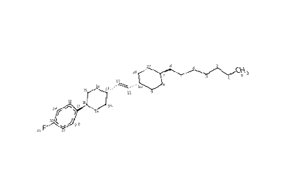 CCCCCCC[C@H]1CC[C@H](C=C[C@H]2CC[C@H](c3ccc(F)cc3)CC2)CC1